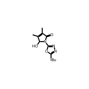 CC1=C(C)C(O)N(c2nnc(C(C)(C)C)o2)C1=O